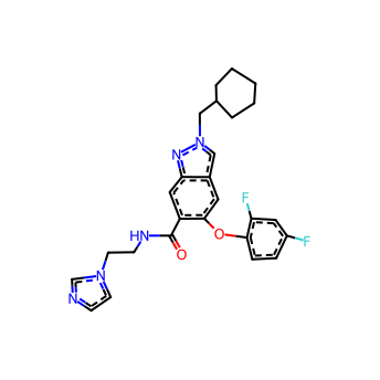 O=C(NCCn1ccnc1)c1cc2nn(CC3CCCCC3)cc2cc1Oc1ccc(F)cc1F